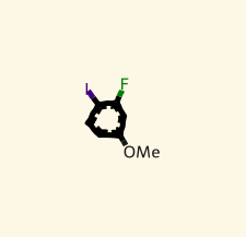 COc1ccc(I)c(F)c1